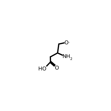 NC(C[O])CC(=O)O